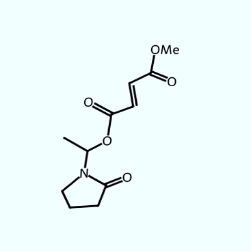 COC(=O)C=CC(=O)OC(C)N1CCCC1=O